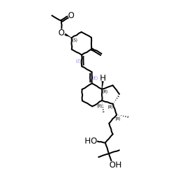 C=C1CC[C@H](OC(C)=O)C/C1=C/C=C1\CCC[C@]2(C)[C@@H]([C@H](C)CCC(O)C(C)(C)O)CC[C@@H]12